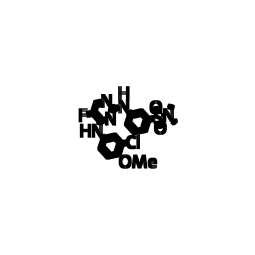 COc1ccc(Nc2nc(Nc3cccc(S(=O)(=O)N(C)C)c3)ncc2F)cc1Cl